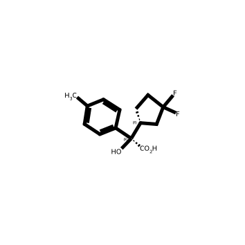 Cc1ccc([C@@](O)(C(=O)O)[C@@H]2CCC(F)(F)C2)cc1